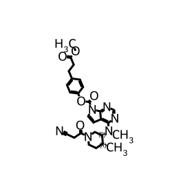 COC(=O)CCc1ccc(OC(=O)n2ccc3c(N(C)[C@H]4CN(C(=O)CC#N)CC[C@H]4C)ncnc32)cc1